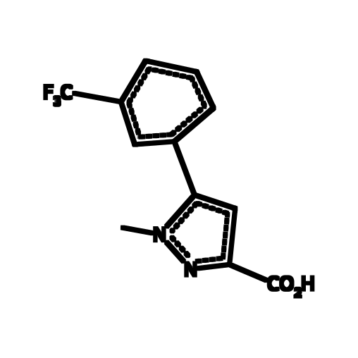 Cn1nc(C(=O)O)cc1-c1cccc(C(F)(F)F)c1